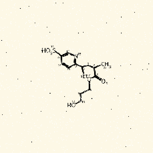 CCC(CC(C)C(=O)OCCCO)c1ccc(S(=O)(=O)O)cn1